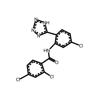 O=C(Nc1cc(Cl)ccc1-c1nnn[nH]1)c1ccc(Cl)cc1Cl